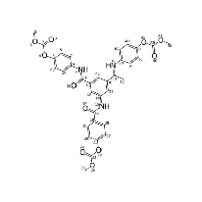 COC(=O)Oc1ccc(NC(=O)c2cc(NC(=O)c3ccc(OC(=O)OC)cc3)cc(C(C)Nc3ccc(OC(=O)OC)cc3)c2)cc1